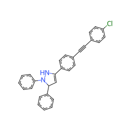 Clc1ccc(C#Cc2ccc(C3=CC(c4ccccc4)N(c4ccccc4)N3)cc2)cc1